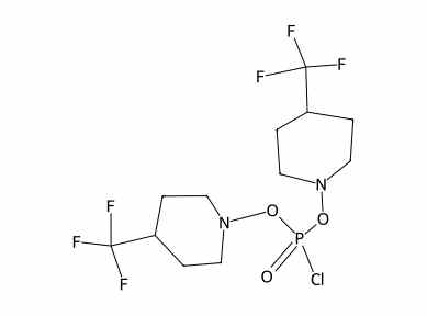 O=P(Cl)(ON1CCC(C(F)(F)F)CC1)ON1CCC(C(F)(F)F)CC1